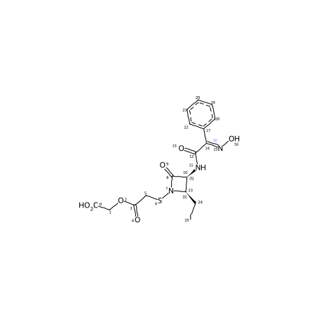 O=C(O)COC(=O)CSN1C(=O)[C@@H](NC(=O)/C(=N/O)c2ccccc2)[C@H]1CI